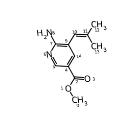 COC(=O)c1cnc(N)c(C=C(C)C)c1